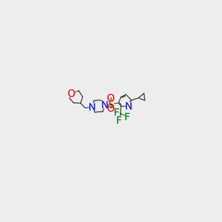 O=S(=O)(c1ccc(C2CC2)nc1C(F)(F)F)N1CCN(CC2CCOCC2)CC1